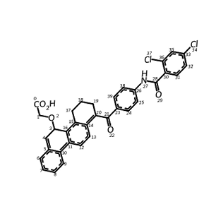 O=C(O)COC1C=c2ccccc2=c2ccc3c(c21)CCCC=3C(=O)c1ccc(NC(=O)c2ccc(Cl)cc2Cl)cc1